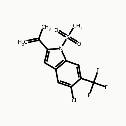 C=C(C)c1cc2cc(Cl)c(C(F)(F)F)cc2n1S(C)(=O)=O